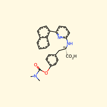 CN(C)C(=O)Oc1ccc(C[C@H](Nc2cccc(-c3cccc4ccccc34)n2)C(=O)O)cc1